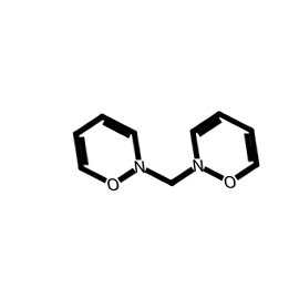 C1=CON(CN2C=CC=CO2)C=C1